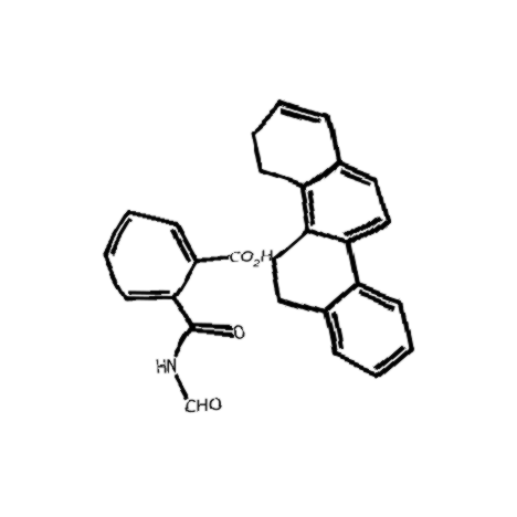 C1=Cc2ccc3c(c2CC1)CCc1ccccc1-3.O=CNC(=O)c1ccccc1C(=O)O